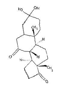 C[C@]12CCC(O)(O)CC1CC(=O)[C@@H]1[C@@H]2CC[C@]2(C)C(=O)CC[C@@H]12